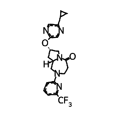 O=C1CCN(c2cccc(C(F)(F)F)n2)C[C@@H]2C[C@H](Oc3cnc(C4CC4)cn3)CN12